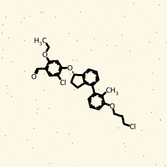 CCOc1cc(O[C@H]2CCc3c(-c4cccc(OCCCCl)c4C)cccc32)c(Cl)cc1C=O